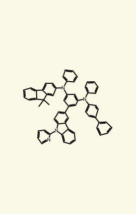 CC1(C)c2ccccc2-c2ccc(N(c3ccccc3)c3cc(-c4ccc5c(c4)c4ccccc4n5-c4ccccn4)cc(N(c4ccccc4)c4ccc(-c5ccccc5)cc4)c3)cc21